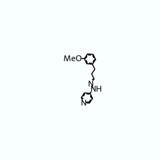 COc1cccc(CCC=NNc2ccncc2)c1